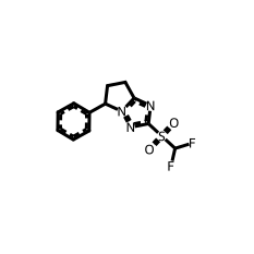 O=S(=O)(c1nc2n(n1)C(c1ccccc1)CC2)C(F)F